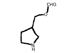 O=COCC1CCNC1